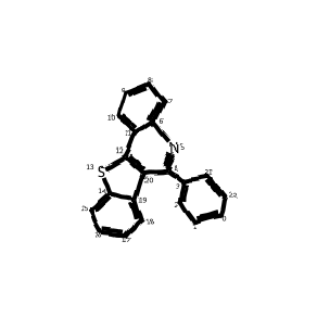 c1ccc(-c2nc3ccccc3c3sc4ccccc4c23)cc1